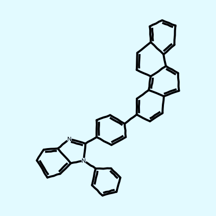 c1ccc(-n2c(-c3ccc(-c4ccc5ccc6c7ccccc7ccc6c5c4)cc3)nc3ccccc32)cc1